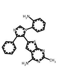 Cc1nc(N)c2cc(-c3c(-c4ccccc4)ncn3-c3ccccc3N)sc2n1